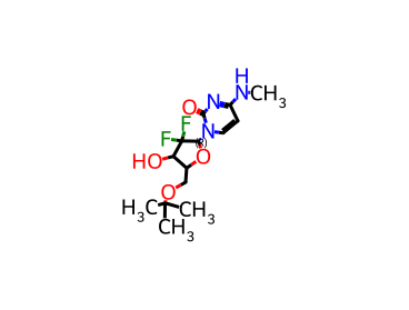 CNc1ccn([C@@H]2OC(COC(C)(C)C)C(O)C2(F)F)c(=O)n1